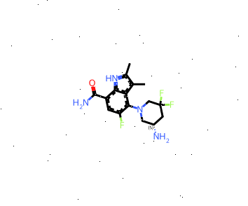 Cc1[nH]c2c(C(N)=O)cc(F)c(N3C[C@@H](N)CC(F)(F)C3)c2c1C